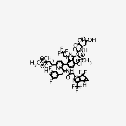 CC(C)(CCc1ccc(-c2ccc(Cl)c3c(N(C(=O)N[C@H](CC(=O)O)C(=O)O)S(C)(=O)=O)nn(CC(F)(F)F)c23)c([C@H](Cc2cc(F)cc(F)c2)NC(=O)Cn2nc(C(F)(F)F)c3c2C(F)(F)C2C[C@H]32)n1)S(C)(=O)=O